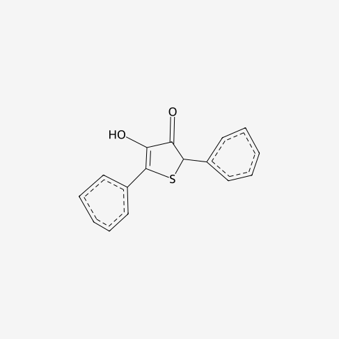 O=C1C(O)=C(c2ccccc2)SC1c1ccccc1